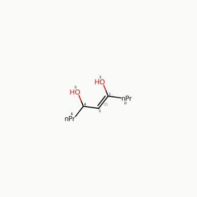 CCC/C(O)=C/C(O)CCC